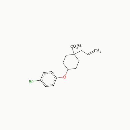 C=CCC1(C(=O)OCC)CCC(Oc2ccc(Br)cc2)CC1